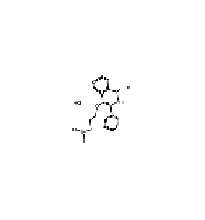 CCN(CC)CCCOC1=C(c2ccccc2)NC(C=O)c2ccccc21.Cl